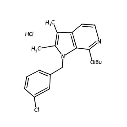 Cc1c(C)n(Cc2cccc(Cl)c2)c2c(OCC(C)C)nccc12.Cl